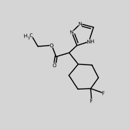 CCOC(=O)C(c1nnc[nH]1)C1CCC(F)(F)CC1